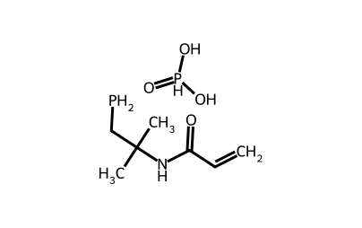 C=CC(=O)NC(C)(C)CP.O=[PH](O)O